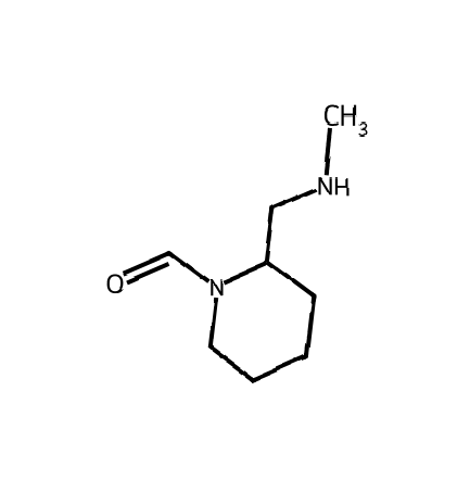 CNCC1CCCCN1C=O